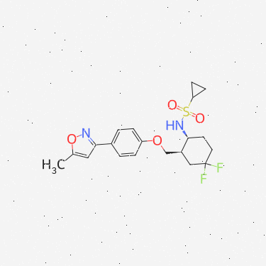 Cc1cc(-c2ccc(OC[C@@H]3CC(F)(F)CC[C@@H]3NS(=O)(=O)C3CC3)cc2)no1